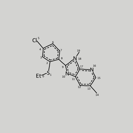 CCSc1cc(Cl)ccc1-c1nc2cc(C)cnc2n1C